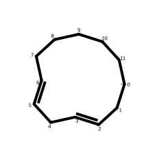 [CH]1C/C=C/C/C=C/CCCCC1